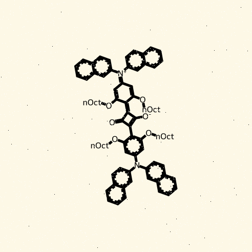 CCCCCCCCOC1=CC(=[N+](c2ccc3ccccc3c2)c2ccc3ccccc3c2)C=C(OCCCCCCCC)C1=C1C(=O)C(c2c(OCCCCCCCC)cc(N(c3ccc4ccccc4c3)c3ccc4ccccc4c3)cc2OCCCCCCCC)=C1[O-]